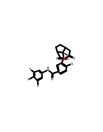 O=C1CCC2CCC(C1)[C@@H]2S(=O)(=O)c1cc(C(=O)Nc2cc(F)c(F)c(F)c2)ccc1Cl